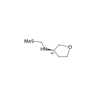 CSCN[C@@H]1CCOC1